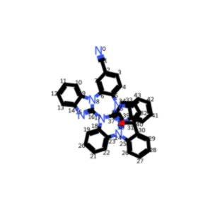 N#Cc1ccc2c(c1)n1c3ccccc3nc1n(-c1ccccc1-n1c3ccccc3c3ccccc31)c1nc3ccccc3n21